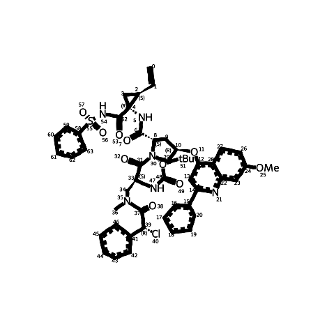 C=C[C@@H]1C[C@]1(NC(=O)[C@@H]1C[C@@H](Oc2cc(-c3ccccc3)nc3cc(OC)ccc23)CN1C(=O)[C@H](CN(C)C(=O)[C@H](Cl)c1ccccc1)NC(=O)OC(C)(C)C)C(=O)NS(=O)(=O)c1ccccc1